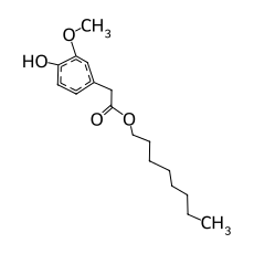 CCCCCCCCOC(=O)Cc1ccc(O)c(OC)c1